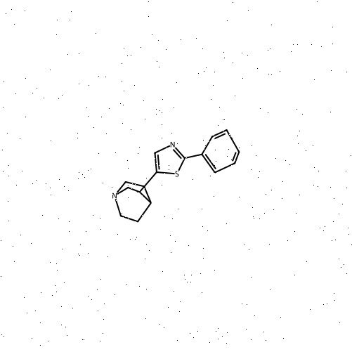 [CH]1[C](c2cnc(-c3ccccc3)s2)C2CCN1CC2